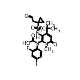 Cn1c(N(C(=O)O)c2ccc(I)cc2F)c(NS(=O)(=O)C2(CC=O)CC2)c(C(C)(C)C)cc1=O